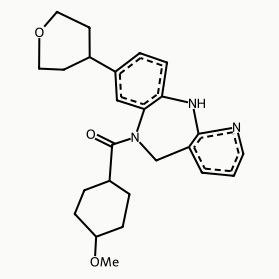 COC1CCC(C(=O)N2Cc3cccnc3Nc3ccc(C4CCOCC4)cc32)CC1